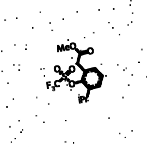 COC(=O)Cc1cccc(C(C)C)c1OS(=O)(=O)C(F)(F)F